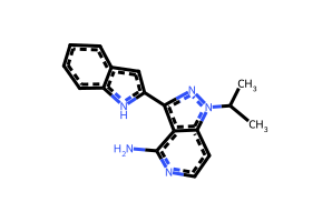 CC(C)n1nc(-c2cc3ccccc3[nH]2)c2c(N)nccc21